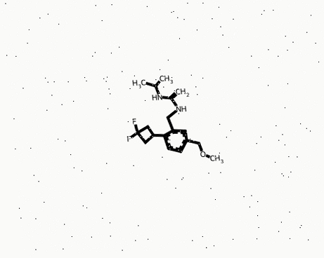 C=C(NCc1cc(COC)ccc1C1CC(F)(F)C1)NC(C)C